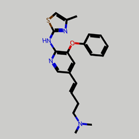 Cc1csc(Nc2ncc(C=CCCN(C)C)cc2Oc2ccccc2)n1